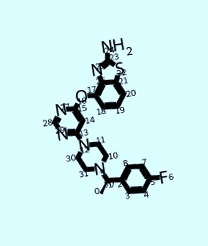 C[C@H](c1ccc(F)cc1)N1CCN(c2cc(Oc3cccc4sc(N)nc34)ncn2)CC1